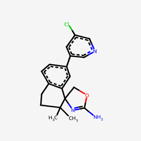 CC1(C)CCc2ccc(-c3cncc(Cl)c3)cc2C12COC(N)=N2